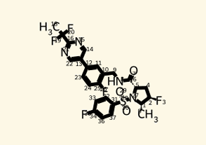 C[C@H]1[C@H](F)C[C@@H](C(=O)NCc2cc(-c3cnc(C(C)(F)F)nc3)ccc2F)N1S(=O)(=O)c1ccc(F)cc1